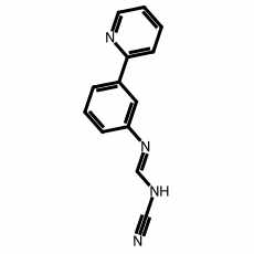 N#CN/C=N/c1cccc(-c2ccccn2)c1